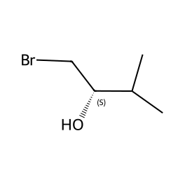 CC(C)[C@H](O)CBr